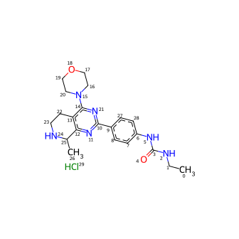 CCNC(=O)Nc1ccc(-c2nc3c(c(N4CCOCC4)n2)CCNC3C)cc1.Cl